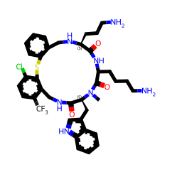 CN1C(=O)C(CCCCN)NC(=O)[C@H](CCCN)NCc2ccccc2Sc2c(Cl)ccc(C(F)(F)F)c2CNC(=O)[C@@H]1Cc1c[nH]c2ccccc12